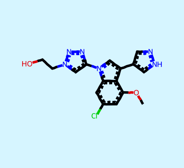 COc1cc(Cl)cc2c1c(-c1cn[nH]c1)cn2-c1cn(CCO)nn1